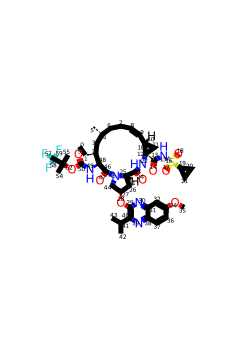 CC[C@@H]1C[C@H](C)CC/C=C\[C@@H]2C[C@@]2(C(=O)NS(=O)(=O)C2CC2)NC(=O)[C@@H]2C[C@@H](Oc3nc4cc(OC)ccc4nc3C(C)C)CN2C(=O)[C@H]1NC(=O)OC(C)(C)C(F)(F)F